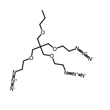 CCCOCC(COCCN=[N+]=[N-])(COCCN=[N+]=[N-])COCCN=[N+]=[N-]